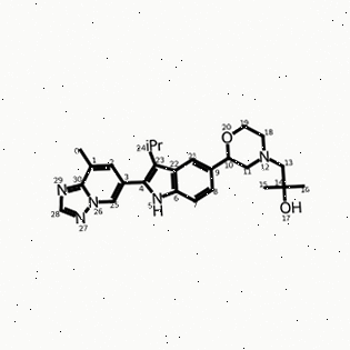 Cc1cc(-c2[nH]c3ccc(C4CN(CC(C)(C)O)CCO4)cc3c2C(C)C)cn2ncnc12